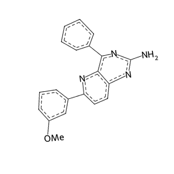 COc1cccc(-c2ccc3nc(N)nc(-c4ccccc4)c3n2)c1